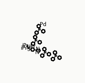 CC(C)[Si](Sc1ccc(-c2ncccn2)cc1)(C(C)C)C(C)C.[Pd].c1ccc(P(c2ccccc2)c2ccccc2)cc1.c1ccc(P(c2ccccc2)c2ccccc2)cc1.c1ccc(P(c2ccccc2)c2ccccc2)cc1.c1ccc(P(c2ccccc2)c2ccccc2)cc1